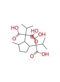 CC1CCC(C(C(=O)O)(C(=O)O)C(C)C)C1C(C(=O)O)(C(=O)O)C(C)C